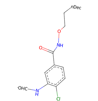 CCCCCCCCCCCCONC(=O)c1ccc(Cl)c(N[C]=O)c1